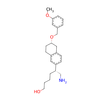 COc1cccc(CO[C@H]2CCc3cc([C@H](CN)CCCCO)ccc3C2)c1